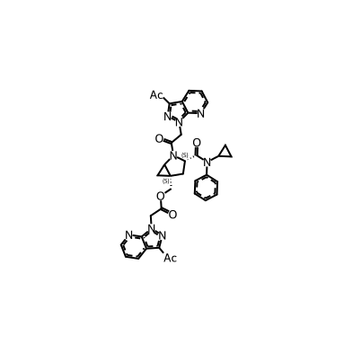 CC(=O)c1nn(CC(=O)OC[C@]23CC2N(C(=O)Cn2nc(C(C)=O)c4cccnc42)[C@H](C(=O)N(c2ccccc2)C2CC2)C3)c2ncccc12